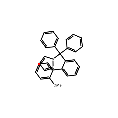 COc1ccccc1-c1ccccc1C(c1ccccc1)(c1ccccc1)n1cccn1